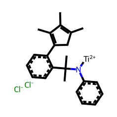 CC1=C(C)C(C)=C(c2ccccc2C(C)(C)[N]([Ti+2])c2ccccc2)C1.[Cl-].[Cl-]